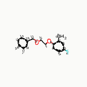 Bc1cc(F)ccc1OCCOCc1ccccc1